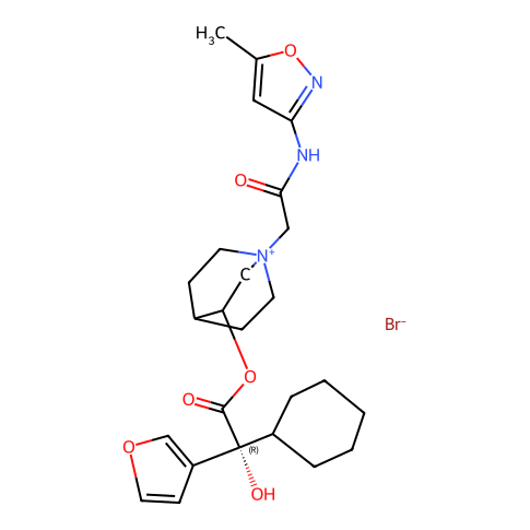 Cc1cc(NC(=O)C[N+]23CCC(CC2)C(OC(=O)[C@](O)(c2ccoc2)C2CCCCC2)C3)no1.[Br-]